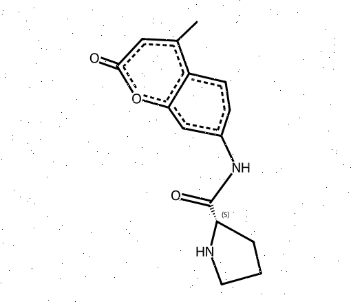 Cc1cc(=O)oc2cc(NC(=O)[C@@H]3CCCN3)ccc12